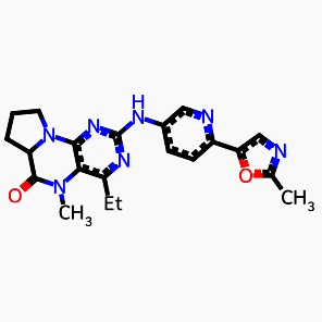 CCc1nc(Nc2ccc(-c3cnc(C)o3)nc2)nc2c1N(C)C(=O)C1CCCN21